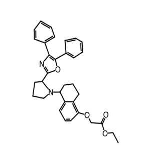 CCOC(=O)COc1cccc2c1CCCC2N1CCCC1c1nc(-c2ccccc2)c(-c2ccccc2)o1